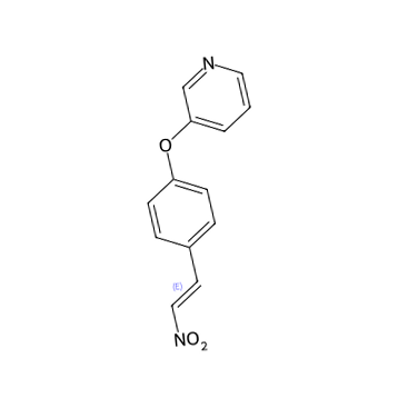 O=[N+]([O-])/C=C/c1ccc(Oc2cccnc2)cc1